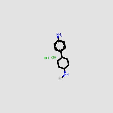 CCNC1CCC(c2ccc(N)cc2)CC1.Cl.Cl